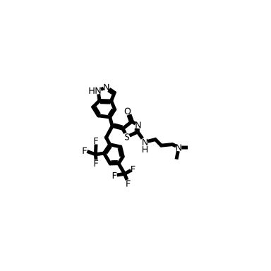 CN(C)CCCNC1=NC(=O)C(=C(Cc2ccc(C(F)(F)F)cc2C(F)(F)F)c2ccc3[nH]ncc3c2)S1